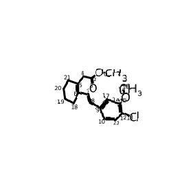 COC(=O)CC1=C(/C=C/c2ccc(Cl)c(OC)c2)CCCC1